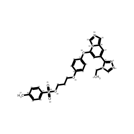 CCn1cnnc1-c1cc(Oc2ccc(OCCCOS(=O)(=O)c3ccc(C)cc3)cc2)n2cncc2c1